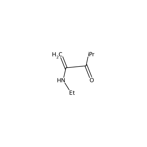 C=C(NCC)C(=O)C(C)C